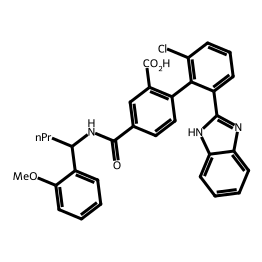 CCCC(NC(=O)c1ccc(-c2c(Cl)cccc2-c2nc3ccccc3[nH]2)c(C(=O)O)c1)c1ccccc1OC